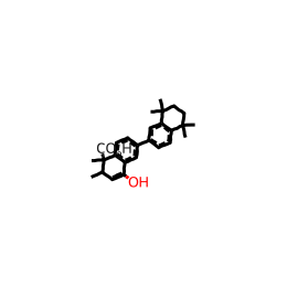 CC1C=C(O)c2cc(-c3ccc4c(c3)C(C)(C)CCC4(C)C)ccc2C1(C)C(=O)O